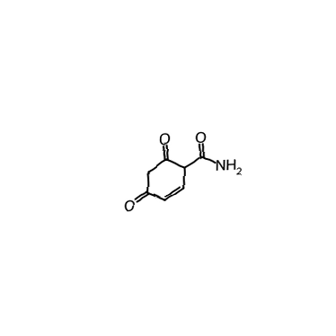 NC(=O)C1C=CC(=O)CC1=O